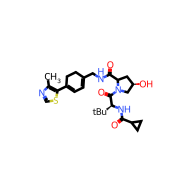 Cc1ncsc1C1=CC=C(CNC(=O)C2C[C@@H](O)CN2C(=O)[C@@H](NC(=O)C2CC2)C(C)(C)C)CC1